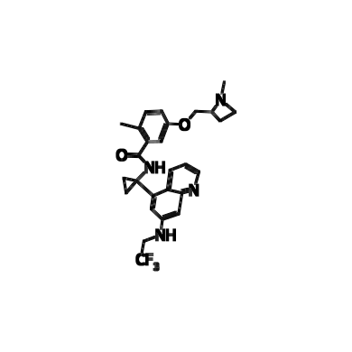 Cc1ccc(OCC2CCN2C)cc1C(=O)NC1(c2cc(NCC(F)(F)F)cc3ncccc23)CC1